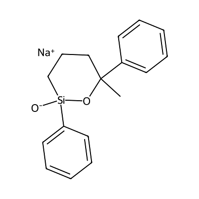 CC1(c2ccccc2)CCC[Si]([O-])(c2ccccc2)O1.[Na+]